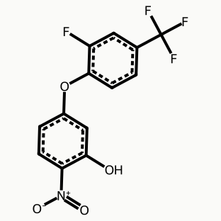 O=[N+]([O-])c1ccc(Oc2ccc(C(F)(F)F)cc2F)cc1O